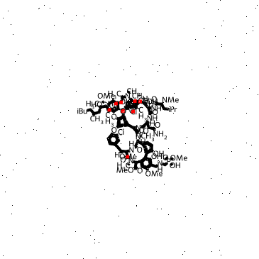 CCC(C)CC(C)CC(C)CC(C)CNCC(C)N(C)[C@@]1(C)CC(O[C@H]2[C@H](Oc3c4cc5cc3Oc3ccc(cc3Cl)[C@@H](OC)[C@@H]3NC(=O)[C@@H](c6ccc(O)c(c6)-c6c(cc(OC)c(CNCP(=O)(O)OC)c6O)C(C(=O)OC)N(C)C3=O)N(C)C(=O)C5NC(=O)[C@H](CC(N)=O)NC(=O)[C@H](NC(=O)[C@@H](CC(C)C)NC)[C@H](O)c3ccc(c(Cl)c3)O4)O[C@H](CO)[C@@H](OC)[C@@H]2O)O[C@@H](C)[C@H]1O